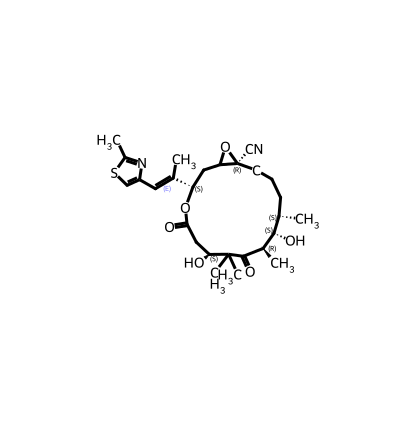 C/C(=C\c1csc(C)n1)[C@@H]1CC2O[C@@]2(C#N)CCC[C@H](C)[C@H](O)[C@@H](C)C(=O)C(C)(C)[C@@H](O)CC(=O)O1